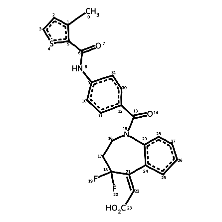 Cc1ccsc1C(=O)Nc1ccc(C(=O)N2CCC(F)(F)C(=CC(=O)O)c3ccccc32)cc1